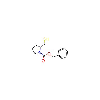 O=C(OCc1ccccc1)N1CCCC1CS